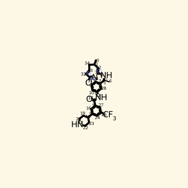 CC1\C=C(N[C@@H](C)c2cccc(NC(=O)c3cc(C4CCNCC4)cc(C(F)(F)F)c3)c2)/N=C(Cl)\C=C\C1